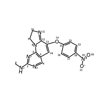 CNc1ncc2c(n1)N1CCN=C1C(Oc1ccc([N+](=O)[O-])cc1)=C2